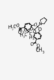 COC(=O)c1ccc(OC(Oc2ccc(C(=O)OC)cc2)(C(=O)OC(C)(C)C)N2CCCC2)cc1